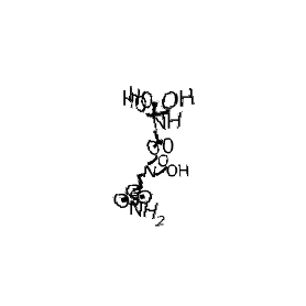 NS(=O)(=O)OCCN(CCOC(=O)CNC(CO)(CO)CO)CC(=O)O